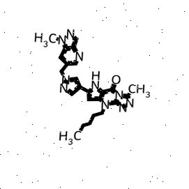 CCCCCn1c2cc(-c3cnn(Cc4cnc5cnn(C)c5c4)c3)[nH]c2c(=O)n2c(C)nnc12